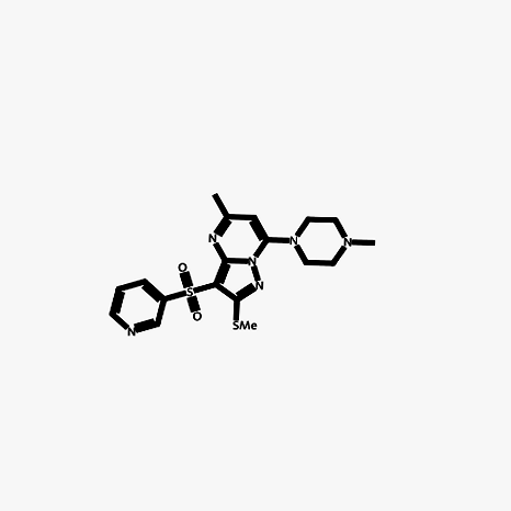 CSc1nn2c(N3CCN(C)CC3)cc(C)nc2c1S(=O)(=O)c1cccnc1